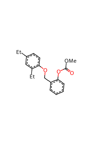 CCc1ccc(OCc2ccccc2OC(=O)OC)c(CC)c1